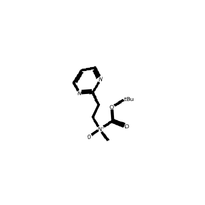 CC(C)(C)OC(=O)[N+](C)([O-])CCc1ncccn1